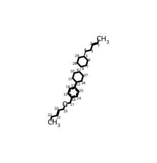 C/C=C/CC[C@H]1CC[C@H](C2CCC(c3ccc(COCC=CCC)cc3)CC2)CC1